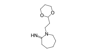 N=C1CCCCCN1CCC1OCCCO1